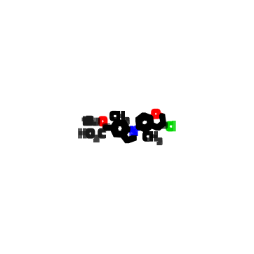 Cc1cc2c(cc1[C@H](OC(C)(C)C)C(=O)O)CCN2c1ccc2c(c1C)C[C@@H](Cl)CO2